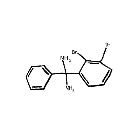 NC(N)(c1ccccc1)c1cccc(Br)c1Br